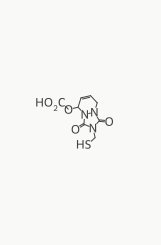 O=C(O)OC1C=CCn2c(=O)n(CS)c(=O)n21